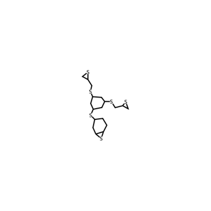 C1SC1CSC1CC(SCC2CS2)CC(SC2CCC3SC3C2)C1